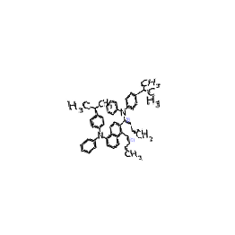 C=C/C=C\c1c(/C(=C\C=C)N(c2ccccc2)c2ccc(C(C)C)cc2)ccc2c(N(c3ccccc3)c3ccc(C(C)C)cc3)cccc12